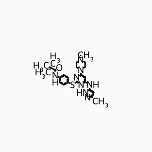 Cc1cc(Nc2cc(N3CCN(C)CC3)nc(Sc3ccc(NC(=O)C(C)(C)C)cc3)n2)[nH]n1